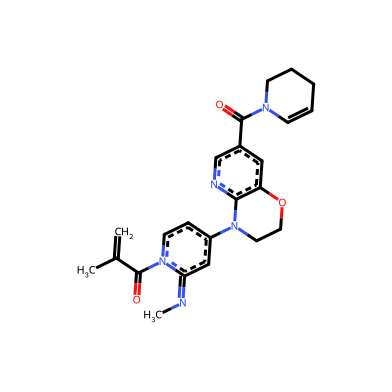 C=C(C)C(=O)n1ccc(N2CCOc3cc(C(=O)N4C=CCCC4)cnc32)c/c1=N/C